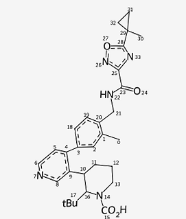 Cc1cc(-c2ccncc2C2CCCN(C(=O)O)C2C(C)(C)C)ccc1CNC(=O)c1noc(C2(C)CC2)n1